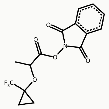 CC(OC1(C(F)(F)F)CC1)C(=O)ON1C(=O)c2ccccc2C1=O